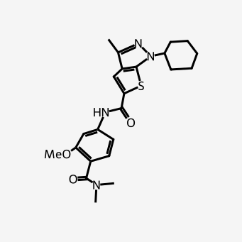 COc1cc(NC(=O)c2cc3c(C)nn(C4CCCCC4)c3s2)ccc1C(=O)N(C)C